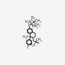 CC(C)(F)CN1CCc2cc(O[Si](C)(C)C(C)(C)C)ccc2C1(C)c1ccc(I)cc1